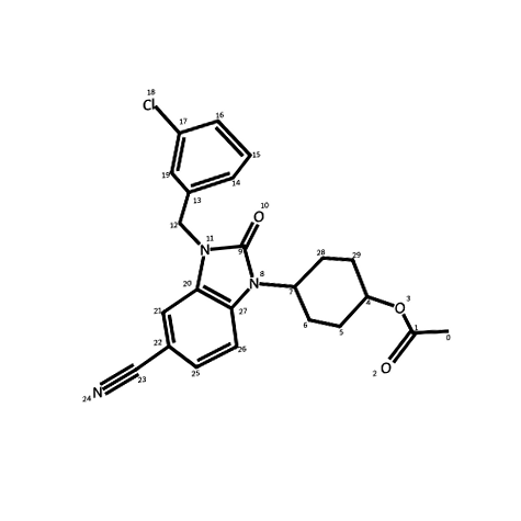 CC(=O)OC1CCC(n2c(=O)n(Cc3cccc(Cl)c3)c3cc(C#N)ccc32)CC1